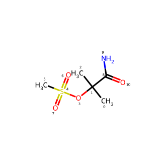 CC(C)(OS(C)(=O)=O)C(N)=O